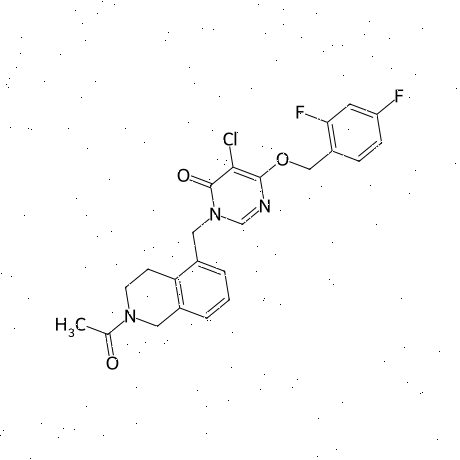 CC(=O)N1CCc2c(cccc2Cn2cnc(OCc3ccc(F)cc3F)c(Cl)c2=O)C1